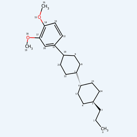 CCC[C@H]1CC[C@H](C2CCC(c3ccc(OC)c(OC)c3)CC2)CC1